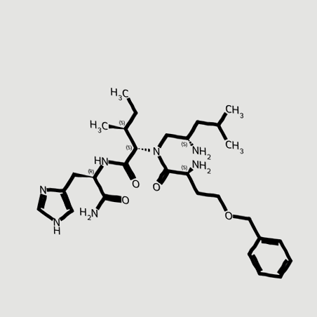 CC[C@H](C)[C@@H](C(=O)N[C@H](Cc1c[nH]cn1)C(N)=O)N(C[C@@H](N)CC(C)C)C(=O)[C@@H](N)CCOCc1ccccc1